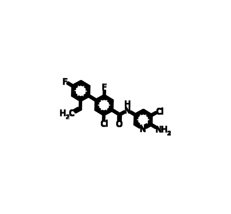 C=Cc1cc(F)ccc1-c1cc(Cl)c(C(=O)Nc2cnc(N)c(Cl)c2)cc1F